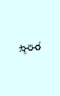 CN1C(=O)C(c2ccc(-c3cccc(F)c3)nn2)CC1(C)C